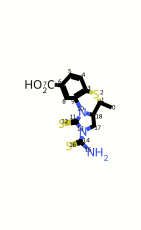 CC1Sc2ccc(C(=O)O)cc2N2C(=S)N(C(N)=S)CC12